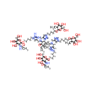 CC(=O)N[C@H]1[C@H](OCCCCCN2C=C(CN(Cc3cn(CCCCCO[C@@H]4O[C@H](CO)[C@H](O)[C@H](O)[C@H]4C)nn3)C(CCCCN(Cc3cn(CCCCCO[C@@H]4O[C@H](CO)[C@H](O)[C@H](O)[C@H]4C)nn3)Cc3cn(CCCCCO[C@@H]4O[C@H](CO)[C@H](O)[C@H](O)[C@H]4NC(C)=O)nn3)C(=O)C(C)(C)C)NN2)O[C@H](CO)[C@H](O)[C@@H]1O